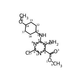 COC(=O)c1nc(Cl)nc(NC2CCC(OC)CC2)c1N